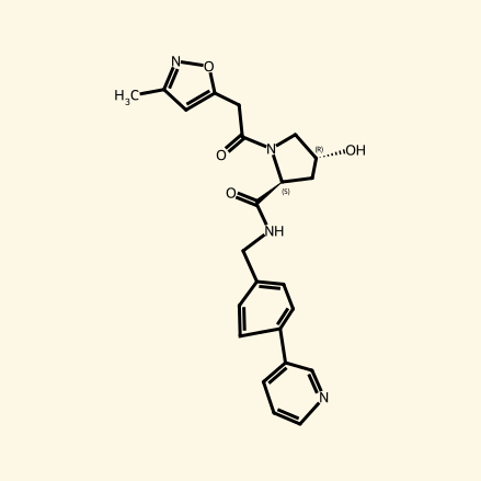 Cc1cc(CC(=O)N2C[C@H](O)C[C@H]2C(=O)NCc2ccc(-c3cccnc3)cc2)on1